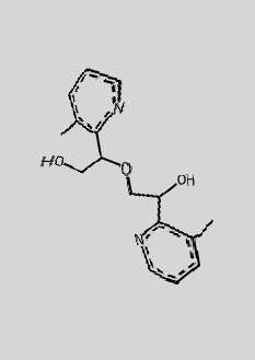 Cc1cccnc1C(O)COC(CO)c1ncccc1C